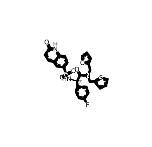 O=C([C@H](NS(=O)(=O)c1ccc2[nH]c(=O)ccc2c1)c1ccc(F)cc1)N(Cc1ccco1)Cc1cccs1